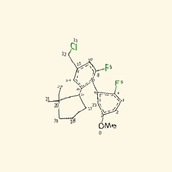 COc1ccc(F)c(-c2c(F)cc(CCl)cc2C2CCCC2(C)C)c1